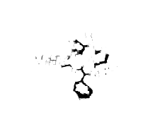 COCCNC(=O)C(Nc1nc(Nc2cnn(C)c2)ncc1Cl)c1ccccc1